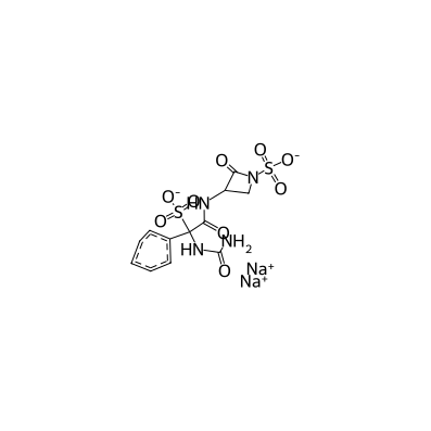 NC(=O)NC(C(=O)NC1CN(S(=O)(=O)[O-])C1=O)(c1ccccc1)S(=O)(=O)[O-].[Na+].[Na+]